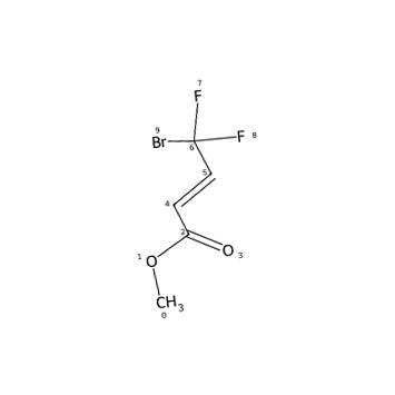 COC(=O)/C=C/C(F)(F)Br